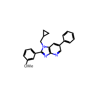 COc1cccc(-c2nc3ncc(-c4ccccc4)cc3n2CC2CC2)c1